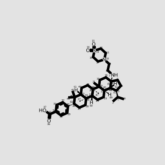 CC(C)[C@@H]1CC[C@]2(NCCN3CCS(=O)(=O)CC3)CCC3(C)[C@H](CC[C@@H]4[C@@]5(C)CC[C@H](c6ccc(C(=O)O)cc6)C(C)(C)[C@@H]5CC[C@]43C)[C@@H]12